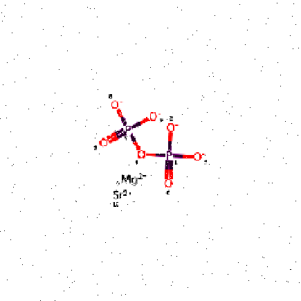 O=P([O-])([O-])OP(=O)([O-])[O-].[Mg+2].[Sr+2]